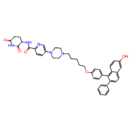 O=C1CCC(NC(=O)c2ccc(N3CCN(CCCCCOc4ccc(-c5c(-c6ccccc6)ccc6cc(O)ccc56)cc4)CC3)cn2)C(=O)N1